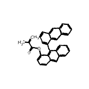 C=C(C)C(=O)Oc1cccc2cc3ccccc3c(-c3cccc4cc5ccccc5cc34)c12